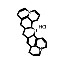 C1=CN2C=CCC3C2=C(C1)CC1CC2=CC4CC=CN5CC=CC(=C45)C2OC13.Cl